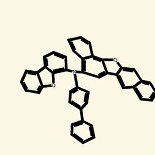 c1ccc(-c2ccc(N(c3cc4c5cc6ccccc6cc5oc4c4ccccc34)c3cccc4c3oc3ccccc34)cc2)cc1